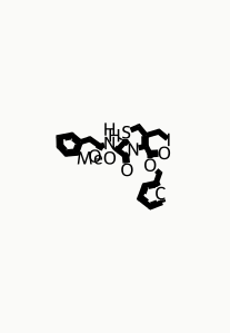 COC1(NC(=O)Cc2ccccc2)C(=O)N2C(C(=O)OCc3ccccc3)=C(CI)CS[C@@H]21